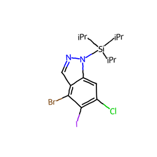 CC(C)[Si](C(C)C)(C(C)C)n1ncc2c(Br)c(I)c(Cl)cc21